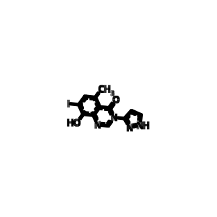 Cc1cc(I)c(O)c2ncn(-c3cc[nH]n3)c(=O)c12